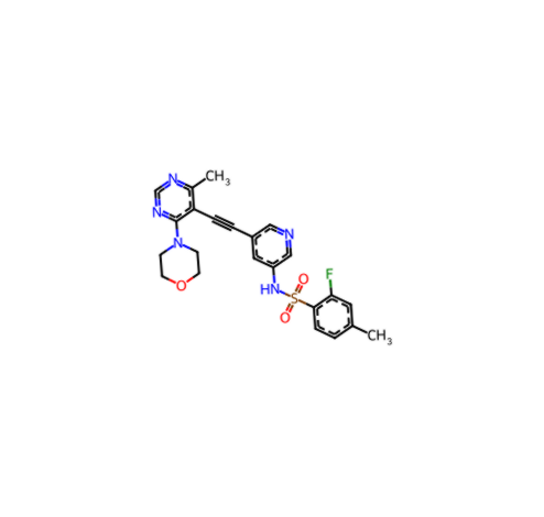 Cc1ccc(S(=O)(=O)Nc2cncc(C#Cc3c(C)ncnc3N3CCOCC3)c2)c(F)c1